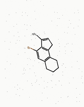 CCCC1=CCc2c3c(cc(Br)c21)CCCC3